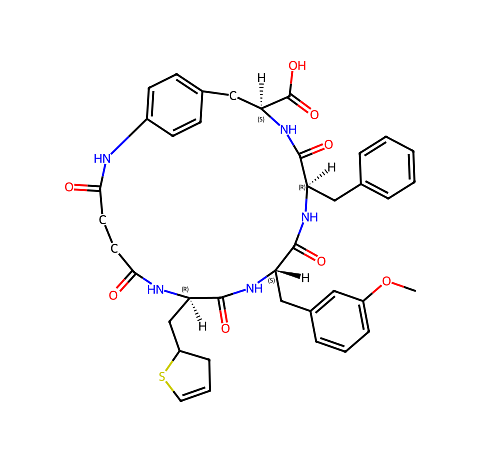 COc1cccc(C[C@@H]2NC(=O)[C@@H](CC3CC=CS3)NC(=O)CCC(=O)Nc3ccc(cc3)C[C@@H](C(=O)O)NC(=O)[C@@H](Cc3ccccc3)NC2=O)c1